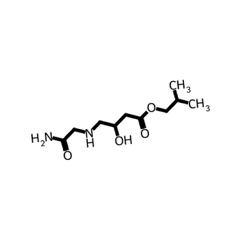 CC(C)COC(=O)CC(O)CNCC(N)=O